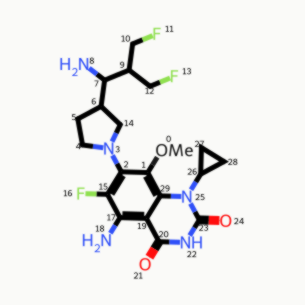 COc1c(N2CCC(C(N)C(CF)CF)C2)c(F)c(N)c2c(=O)[nH]c(=O)n(C3CC3)c12